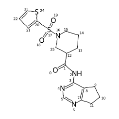 O=C(Nc1ncnc2c1CCC2)C1CCCN(S(=O)(=O)c2cccs2)C1